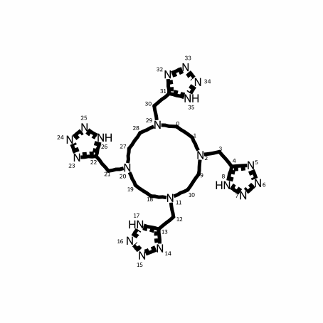 C1CN(Cc2nnn[nH]2)CCN(Cc2nnn[nH]2)CCN(Cc2nnn[nH]2)CCN1Cc1nnn[nH]1